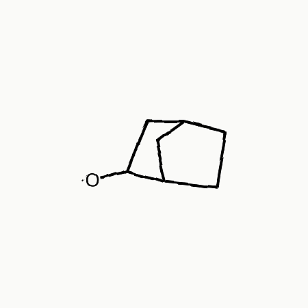 [O]C1CC2CCC1C2